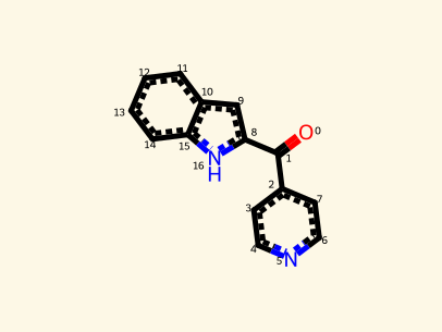 O=C(c1ccncc1)c1cc2ccccc2[nH]1